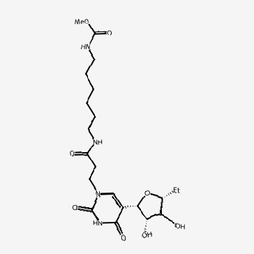 CC[C@H]1O[C@@H](c2cn(CCC(=O)NCCCCCCNC(=O)OC)c(=O)[nH]c2=O)[C@@H](O)C1O